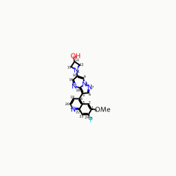 COc1cc2c(-c3cnn4cc(N5CC(O)C5)cnc34)ccnc2cc1F